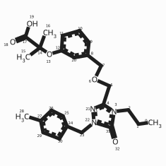 CCCn1c(COCc2cccc(OC(C)(C)C(=O)O)c2)nn(Cc2ccc(C)cc2)c1=O